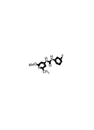 COc1cc(NC(=O)Nc2cccc(F)c2)cc(C)n1